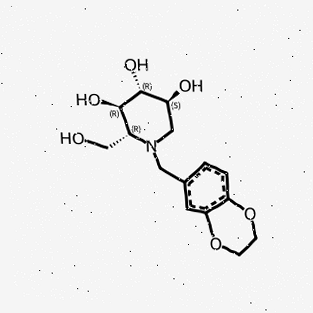 OC[C@@H]1[C@@H](O)[C@H](O)[C@@H](O)CN1Cc1ccc2c(c1)OCCO2